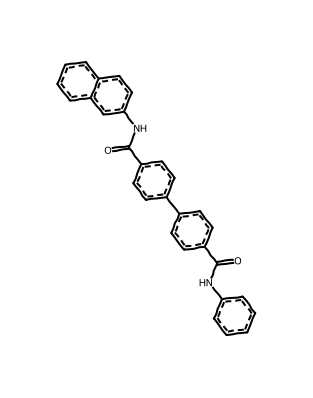 O=C(Nc1ccccc1)c1ccc(-c2ccc(C(=O)Nc3ccc4ccccc4c3)cc2)cc1